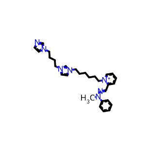 CN(/N=C/c1cccc[n+]1CCCCCCn1cc[n+](CCCCn2ccnc2)c1)c1ccccc1